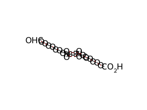 O=COCCOCCOCCOCCOCCOCCOCCN1C(=O)c2ccc3c4ccc5c6c(ccc(c7ccc(c2c37)C1=O)c64)C(=O)N(CCOCCOCCOCCOCCOCCOCCC(=O)O)C5=O